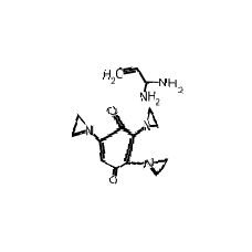 C=CC(N)N.O=C1C=C(N2CC2)C(=O)C(N2CC2)=C1N1CC1